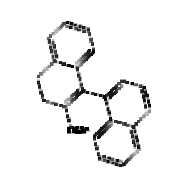 COC1=C(c2cccc3ccccc23)c2ccccc2CC1